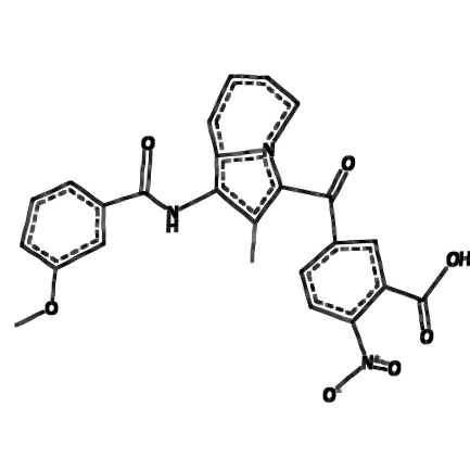 COc1cccc(C(=O)Nc2c(C)c(C(=O)c3ccc([N+](=O)[O-])c(C(=O)O)c3)n3ccccc23)c1